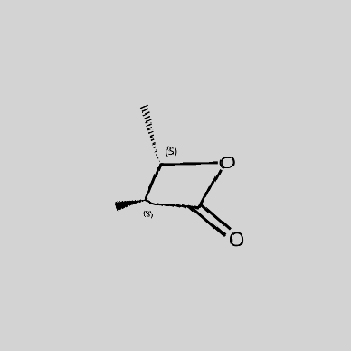 C[C@@H]1OC(=O)[C@H]1C